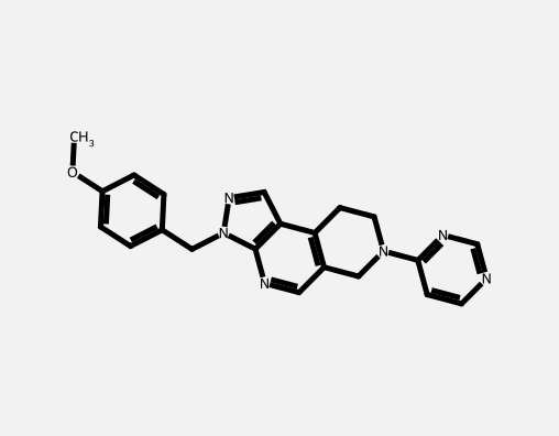 COc1ccc(Cn2ncc3c4c(cnc32)CN(c2ccncn2)CC4)cc1